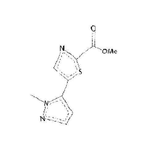 COC(=O)c1ncc(-c2ccnn2C)s1